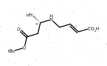 CCC[C@@H](CC(=O)OC(C)(C)C)NC/C=C/C(=O)O